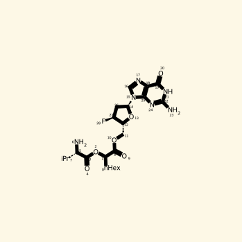 CCCCCCC(OC(=O)[C@@H](N)C(C)C)C(=O)OC[C@H]1O[C@@H](n2cnc3c(=O)[nH]c(N)nc32)C[C@@H]1F